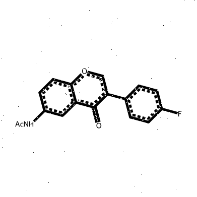 CC(=O)Nc1ccc2occ(-c3ccc(F)cc3)c(=O)c2c1